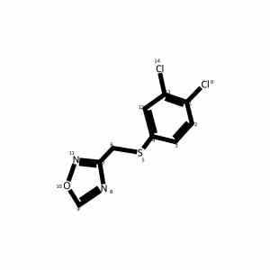 Clc1ccc(SCc2ncon2)cc1Cl